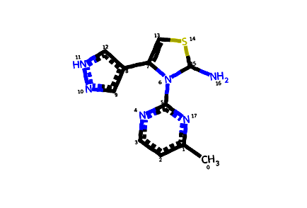 Cc1ccnc(N2C(c3cn[nH]c3)=CSC2N)n1